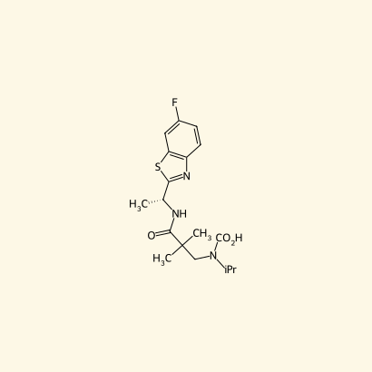 CC(C)N(CC(C)(C)C(=O)N[C@H](C)c1nc2ccc(F)cc2s1)C(=O)O